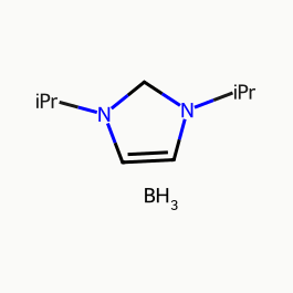 B.CC(C)N1C=CN(C(C)C)C1